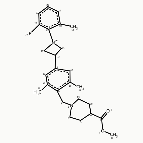 COC(=O)C1CCN(Cc2c(C)cc(C3CN(c4c(C)cccc4F)C3)cc2C)CC1